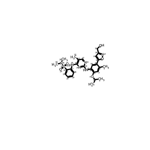 Cc1cc(OC(C)C)c(Nc2ncc(C)c(Nc3ccccc3S(=O)(=O)N(C)C)n2)cc1-c1cc(CO)no1